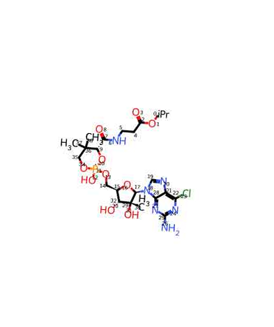 CC(C)OC(=O)CCNC(=O)[C@@H]1O[P](O)(OC[C@H]2O[C@@H](n3cnc4c(Cl)nc(N)nc43)[C@](C)(O)[C@@H]2O)OCC1(C)C